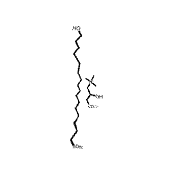 CCCCCCCCCCCCCCCCCCCCCCCCCCO.C[N+](C)(C)CC(O)CC(=O)[O-]